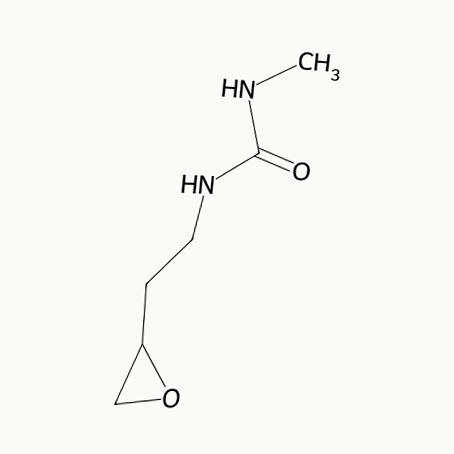 CNC(=O)NCCC1CO1